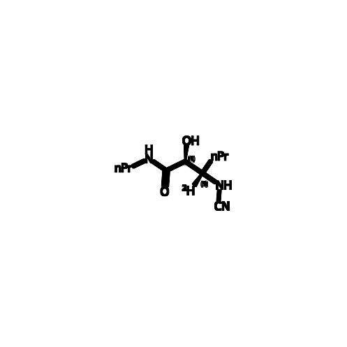 [2H][C@@](CCC)(NC#N)[C@H](O)C(=O)NCCC